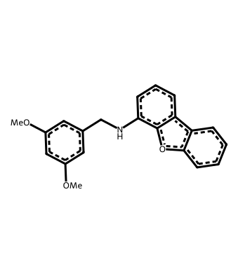 COc1cc(CNc2cccc3c2oc2ccccc23)cc(OC)c1